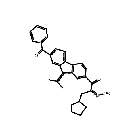 CC(=O)O/N=C(/CC1CCCC1)C(=O)c1ccc2c(c1)C(=C(C)C)c1cc(C(=O)c3ccccc3)ccc1-2